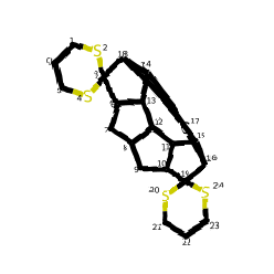 C1CSC2(SC1)C1CC3CC4C5C3C1C1C5C(CC12)C41SCCCS1